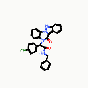 O=C(NCc1ccccc1)C(c1ccc(Cl)cc1)n1c(=O)c2c3ccccc3nn2c2ccccc21